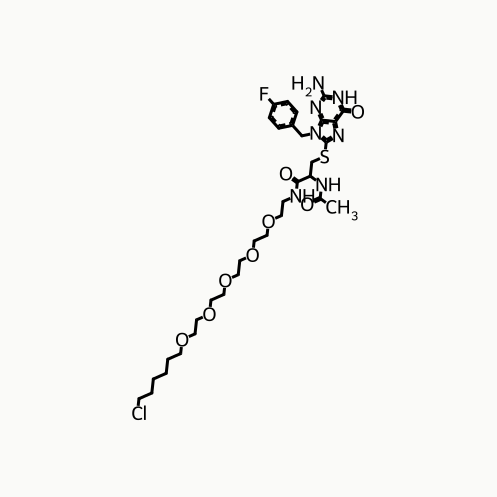 CC(=O)NC(CSc1nc2c(=O)[nH]c(N)nc2n1Cc1ccc(F)cc1)C(=O)NCCOCCOCCOCCOCCOCCCCCCCl